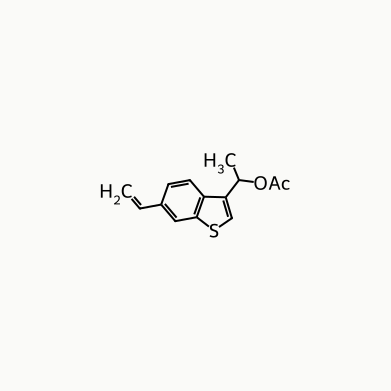 C=Cc1ccc2c(C(C)OC(C)=O)csc2c1